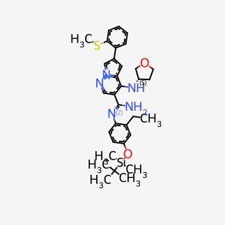 CCc1cc(O[Si](C)(C)C(C)(C)C)ccc1/N=C(\N)c1cnn2cc(-c3ccccc3SC)cc2c1N[C@H]1CCOC1